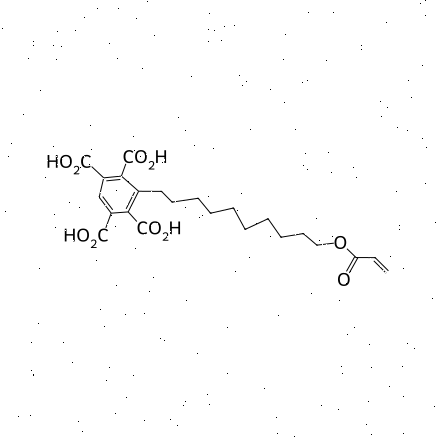 C=CC(=O)OCCCCCCCCCCc1c(C(=O)O)c(C(=O)O)cc(C(=O)O)c1C(=O)O